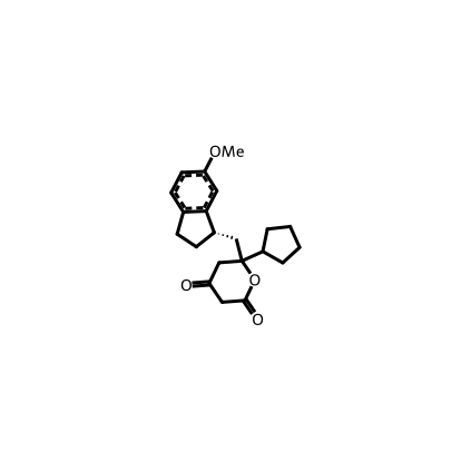 COc1ccc2c(c1)[C@H](CC1(C3CCCC3)CC(=O)CC(=O)O1)CC2